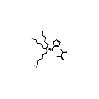 C=C(C)C(=C)C.CCCCCP(CCCCC)(CCCCC)=NC1=CC=CC1.[Ti]